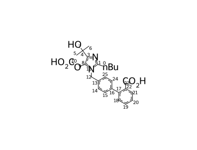 CCCCc1nc(C(C)(C)O)c(OC(=O)O)n1Cc1ccc(-c2ccccc2C(=O)O)cc1